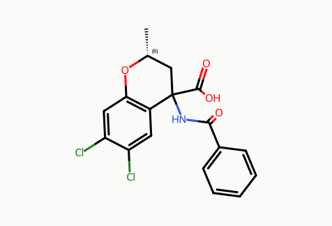 C[C@@H]1CC(NC(=O)c2ccccc2)(C(=O)O)c2cc(Cl)c(Cl)cc2O1